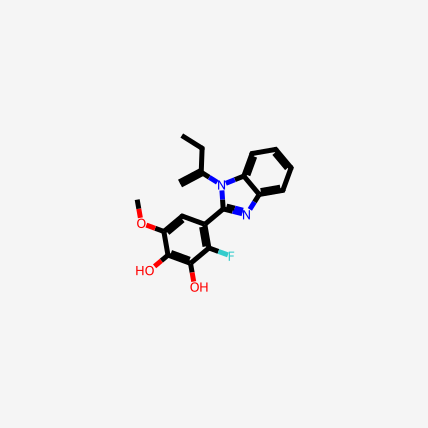 C=C(CC)n1c(-c2cc(OC)c(O)c(O)c2F)nc2ccccc21